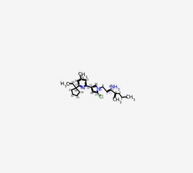 C=C(CCC)/C(N)=C/Cn1cc(-c2cc(C)cc(C3(CC)CCCC3)n2)cc1Cl